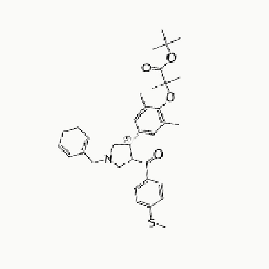 CSc1ccc(C(=O)C2CN(CC3=CCCC=C3)C[C@@H]2c2cc(C)c(OC(C)(C)C(=O)OC(C)(C)C)c(C)c2)cc1